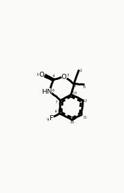 CC1(C)OC(=O)Nc2c(F)cccc21